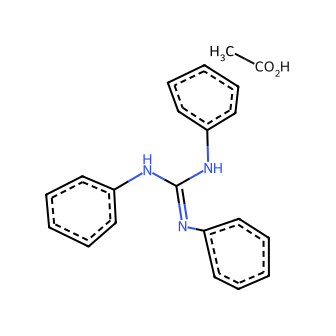 CC(=O)O.c1ccc(N=C(Nc2ccccc2)Nc2ccccc2)cc1